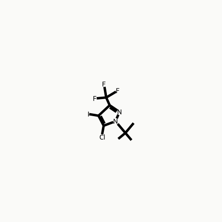 CC(C)(C)n1nc(C(F)(F)F)c(I)c1Cl